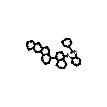 c1ccc(-c2nc3ccccc3n2-c2ccc(-c3cccc4c3ccc3cc5ccccc5cc34)c3ccccc23)cc1